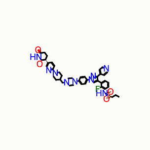 CCCS(=O)(=O)Nc1cccc(-c2cn(-c3ccc(N4CCN(CC5CCN(c6ccc([C@H]7CCC(=O)NC7=O)cn6)CC5)CC4)cc3)nc2-c2ccncc2)c1F